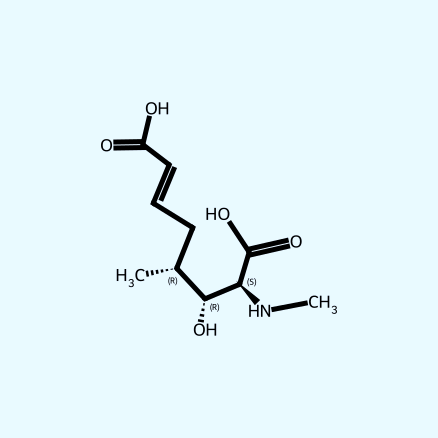 CN[C@H](C(=O)O)[C@H](O)[C@H](C)CC=CC(=O)O